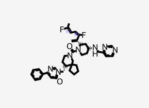 C=C(/C(F)=C\C=C(/C)F)[C@@H]1C[C@H](NCc2ccncn2)CCN1C(=O)N1CC[C@@H](Cn2cnc(-c3ccccc3)cc2=O)C2(CCCC2)C1